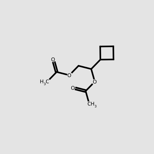 CC(=O)OCC(OC(C)=O)C1CCC1